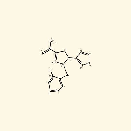 N=C(N)C1=NN(Cc2ccccc2F)C(c2ccon2)C1